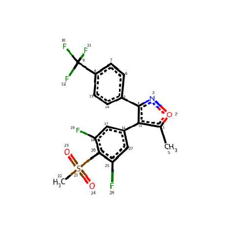 Cc1onc(-c2ccc(C(F)(F)F)cc2)c1-c1cc(F)c(S(C)(=O)=O)c(F)c1